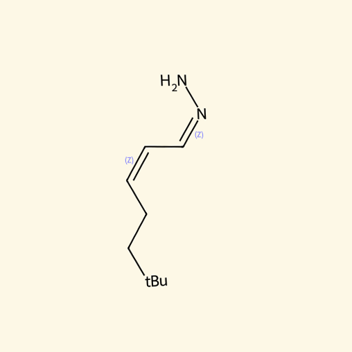 CC(C)(C)CC/C=C\C=N/N